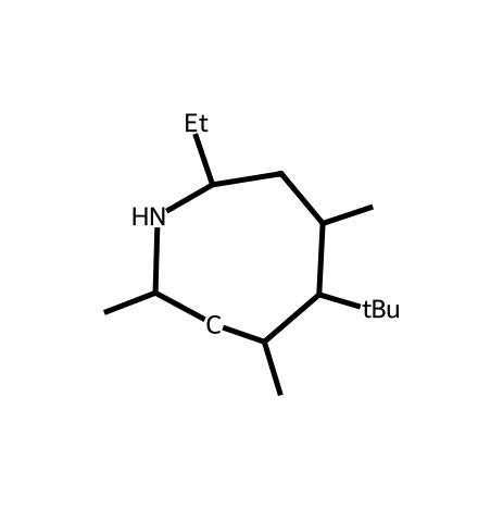 CCC1CC(C)C(C(C)(C)C)C(C)CC(C)N1